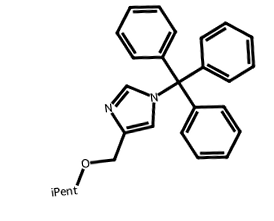 CCCC(C)OCc1cn(C(c2ccccc2)(c2ccccc2)c2ccccc2)cn1